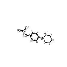 O=[SH](=O)Oc1ccc(N2CCCCC2)cc1